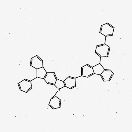 C1=CC2c3cc4c5cc(-c6ccc7c(c6)-c6ccccc6C7c6ccc(-c7ccccc7)cc6)ccc5n(-c5ccccc5)c4cc3C(c3ccccc3)C2C=C1